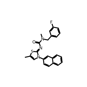 Cc1cn(-c2ccc3ccccc3c2)/c(=N/C(=O)N(C)Cc2cccc(F)c2)s1